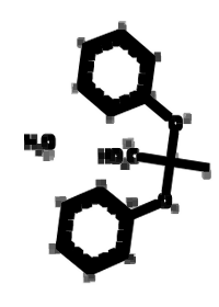 CC(Oc1ccccc1)(Oc1ccccc1)C(=O)O.O